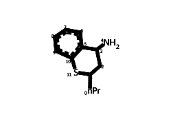 CCCC1CC(N)c2ccccc2S1